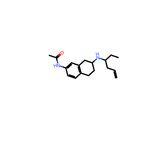 C=CCC(CC)NC1CCc2ccc(NC(C)=O)cc2C1